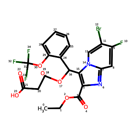 CCOC(=O)c1nc2cc(F)c(Br)cn2c1C(OC(=O)CC(=O)O)c1ccccc1OC(F)(F)F